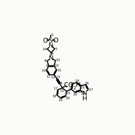 CS(=O)(=O)N1CC(N2Cc3ccc(C#CC4(C(=O)O)C=CC=CC4c4ccc5cc[nH]c5c4)cc3C2)C1